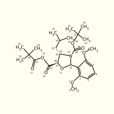 COc1cccc(OC)c1C1O[C@@H](C(=O)OC(=O)C(C)(C)C)[C@H](CC(C)C)N1C(=O)OC(C)(C)C